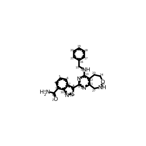 NC(=O)c1cccc2c(-c3nc4c(c(NCc5ccccc5)n3)CCONC4)snc12